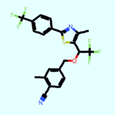 Cc1cc(COC(c2sc(-c3ccc(C(F)(F)F)cc3)nc2C)C(F)(F)F)ccc1C#N